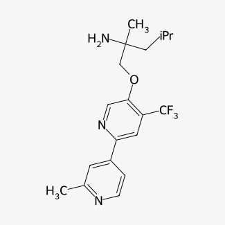 Cc1cc(-c2cc(C(F)(F)F)c(OCC(C)(N)CC(C)C)cn2)ccn1